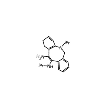 CC(C)N/C1=C(\N)C2=C(C=CCC2)N(C(C)C)Cc2ccccc21